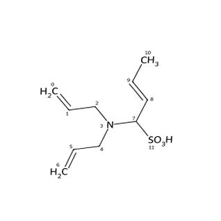 C=CCN(CC=C)C(C=CC)S(=O)(=O)O